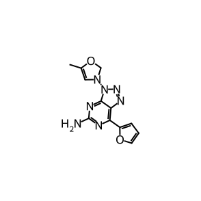 CC1=CN(n2nnc3c(-c4ccco4)nc(N)nc32)CO1